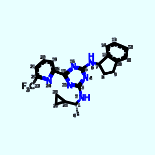 C[C@@H](Nc1nc(NC2CCc3ccccc32)nc(-c2cccc(C(F)(F)F)n2)n1)C1CC1